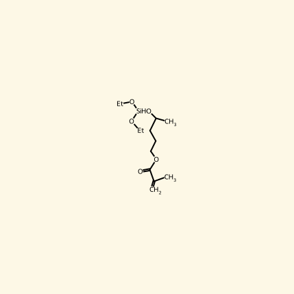 C=C(C)C(=O)OCCCC(C)O[SiH](OCC)OCC